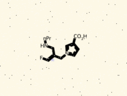 CCCNC/C(=C\F)Cn1ccc(C(=O)O)c1